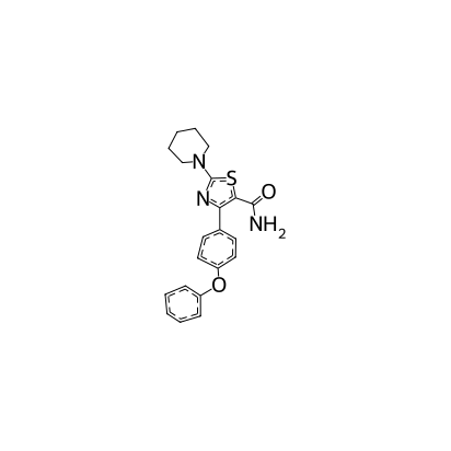 NC(=O)c1sc(N2CCCCC2)nc1-c1ccc(Oc2ccccc2)cc1